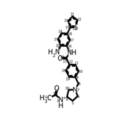 CC(=O)N[C@H]1CCN(Cc2ccc(C(=O)Nc3cc(-c4cccs4)ccc3N)cc2)C1